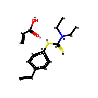 C=CC(=O)O.C=Cc1ccc(SC(=S)N(CC)CC)cc1